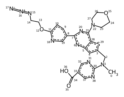 CN(Cc1cc2nc(-c3ccc(OCCN=[N+]=[N-])nc3)nc(N3CCOCC3)c2s1)c1ncc(C(=O)O)cn1